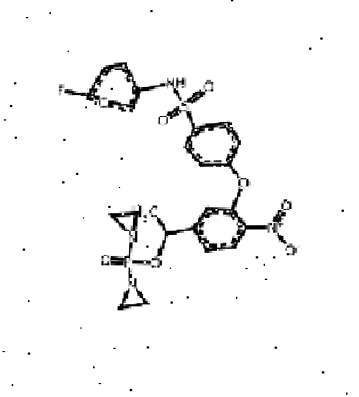 CC(OP(=O)(N1CC1)N1CC1)c1ccc([N+](=O)[O-])c(Oc2ccc(S(=O)(=O)Nc3ccc(F)cc3)cc2)c1